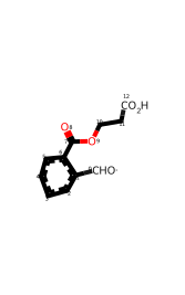 O=[C]c1ccccc1C(=O)OCCC(=O)O